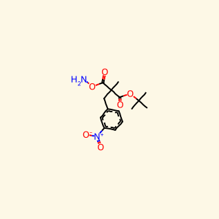 CC(C)(C)OC(=O)C(C)(Cc1cccc([N+](=O)[O-])c1)C(=O)ON